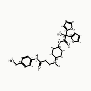 CN(CCC(=O)Nc1ccc(CO)cc1)C1CCC(OC(=O)C(O)(c2cccs2)c2cccs2)CC1